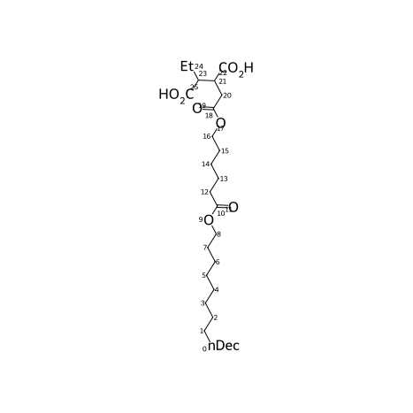 CCCCCCCCCCCCCCCCCCOC(=O)CCCCCOC(=O)CC(C(=O)O)C(CC)C(=O)O